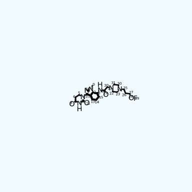 Cn1nc(N2CCC(=O)NC2=O)c2cccc(NC(=O)CN3CCN(CCCOF)CC3)c21